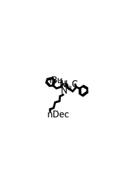 CCCCCCCCCCCCCCCC[n+]1c(CC(C)c2ccccc2)cn(CCCC)c1Cc1ccccc1